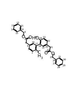 Cc1ccc(CC(=O)OCc2ccccc2)cc1-c1cc(CC(=O)OCc2ccccc2)ccc1O